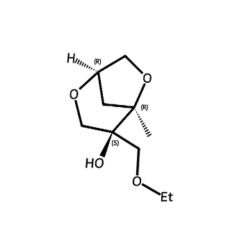 CCOC[C@]1(O)CO[C@H]2CO[C@]1(C)C2